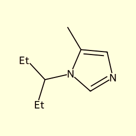 CCC(CC)n1cncc1C